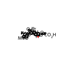 COCCO[C@@H](CN(CCN(C)C)Cc1ccccn1)[C@@]12CC[C@]3(C)[C@H](CC[C@@H]4[C@@]5(C)CC[C@H](OC(=O)CC(C)(C)C(=O)O)C(C)(C)[C@H]5CC[C@]43C)C1=C(C(C)C)C(=O)C2